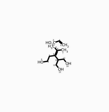 C=CC(=O)O.CC(C)=C(CCO)C(CO)CO